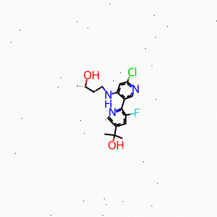 C[C@H](O)CCNc1cc(Cl)ncc1-c1ncc(C(C)(C)O)cc1F